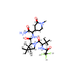 CN1CCC(C(NC(=O)[C@@H]2[C@@H]3[C@H](CN2C(=O)C(NC(=O)C(F)(F)F)C(C)(C)C)C3(C)C)C(N)=O)CC1=O